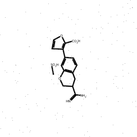 CS(=O)(=O)O.N=C(N)C1COc2cc(-c3ccoc3C(=O)O)ccc2C1